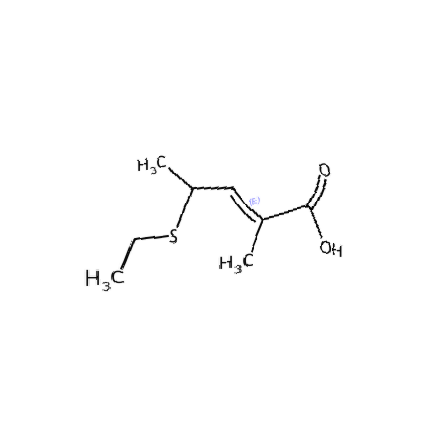 CCSC(C)/C=C(\C)C(=O)O